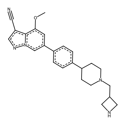 COc1cc(-c2ccc(C3CCN(CC4CNC4)CC3)cc2)cn2ncc(C#N)c12